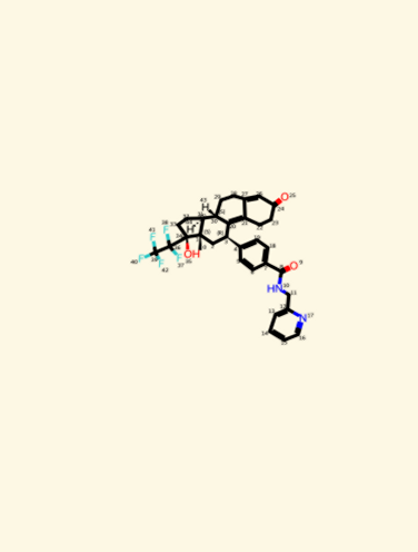 C[C@]12C[C@H](c3ccc(C(=O)NCc4ccccn4)cc3)C3=C4CCC(=O)C=C4CC[C@H]3[C@@H]1CC[C@@]2(O)C(F)(F)C(F)(F)F